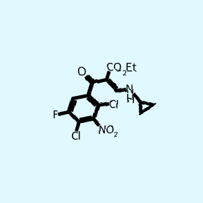 CCOC(=O)C(=CNC1CC1)C(=O)c1cc(F)c(Cl)c([N+](=O)[O-])c1Cl